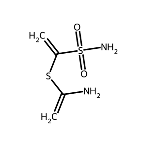 C=C(N)SC(=C)S(N)(=O)=O